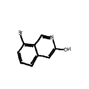 Oc1cc2cccc(Br)c2cn1